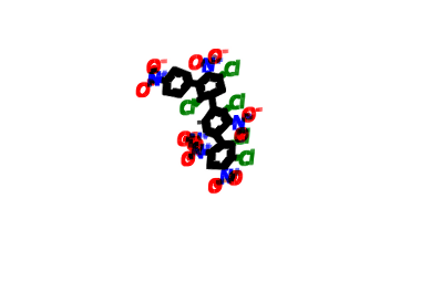 O=[N+]([O-])c1ccc(-c2c(Cl)c(-c3[c]c([N+](=O)[O-])c(-c4c([N+](=O)[O-])cc([N+](=O)[O-])c(Cl)c4Cl)c([N+](=O)[O-])c3Cl)cc(Cl)c2[N+](=O)[O-])cc1